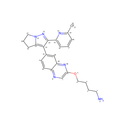 NCCCCOc1cnc2ccc(-c3c(-c4cccc(C(F)(F)F)n4)nn4c3CCC4)cc2n1